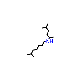 CC(C)CCCCCNC(C)CCC(C)C